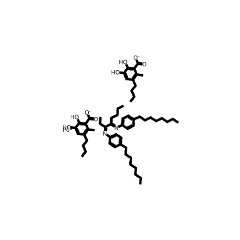 CCCCCCCCc1ccc(N=C(CC)C(CCCC)=Nc2ccc(CCCCCCCC)cc2)cc1.CCCCc1cc(O)c(O)c(C(=O)[O-])c1C.CCCCc1cc(O)c(O)c(C(=O)[O-])c1C.[Pd+2]